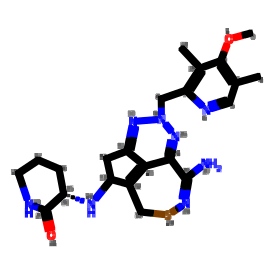 COc1c(C)cnc(CN2N=C3CC(N[C@H]4CCCNC4=O)C4=C3C(=N2)C(N)=NSC4)c1C